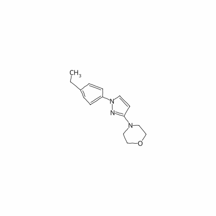 CCc1ccc(-n2ccc(N3CCOCC3)n2)cc1